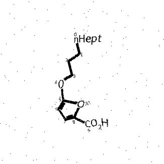 CCCCCCCCCCOc1ccc(C(=O)O)o1